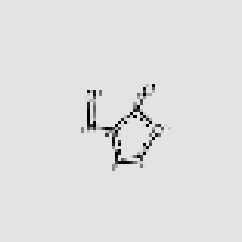 O=Nc1ccoc1Cl